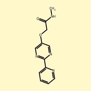 CNC(=O)COc1cnc(-c2ccccn2)nc1